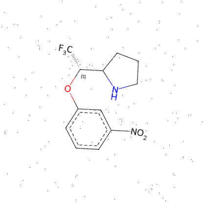 O=[N+]([O-])c1cccc(O[C@@H](C2CCCN2)C(F)(F)F)c1